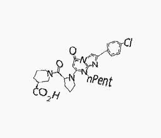 CCCCCn1c(N2CCC[C@H]2C(=O)N2CCC[C@H](C(=O)O)C2)cc(=O)n2cc(-c3ccc(Cl)cc3)nc12